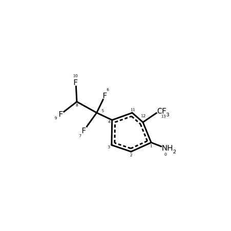 Nc1ccc(C(F)(F)C(F)F)cc1C(F)(F)F